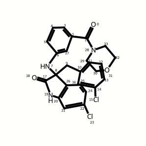 O=C(c1cccc(NC2(Cc3cccc(Cl)c3)C(=O)Nc3cc(Cl)ccc32)c1)N1CCOCC1